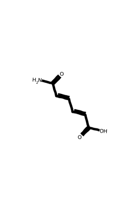 NC(=O)C=CC=CC(=O)O